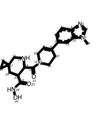 Cn1cnc2ccc(C3=CCN(C(=O)C4NCC5(CC5)CC4C(=O)NO)CC3)cc21